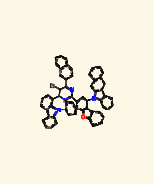 CCC1C(c2ccc3ccccc3c2)=NC(c2cc(-n3c4ccccc4c4cc5ccccc5cc43)c3c(c2)oc2ccccc23)=NC1c1cccc2c3ccccc3n(-c3ccccc3)c12